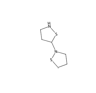 [CH]1CCN(C2CCNS2)S1